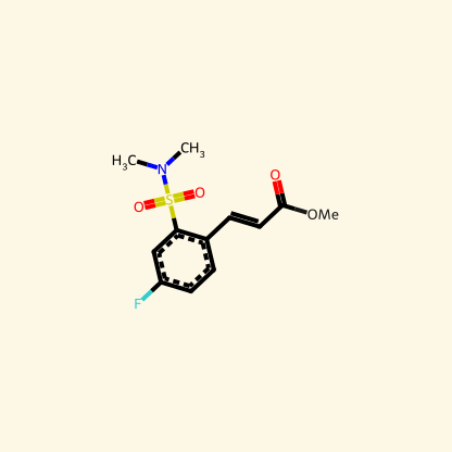 COC(=O)/C=C/c1ccc(F)cc1S(=O)(=O)N(C)C